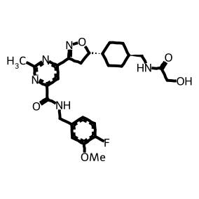 COc1cc(CNC(=O)c2cc(C3=NOC([C@H]4CC[C@H](CNC(=O)CO)CC4)C3)nc(C)n2)ccc1F